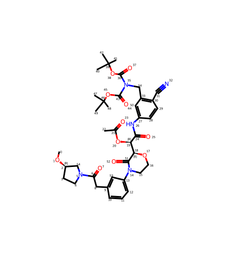 CO[C@@H]1CCN(C(=O)Cc2cccc(N3CCO[C@H]([C@@H](OC(C)=O)C(=O)Nc4ccc(C#N)c(CN(C(=O)OC(C)(C)C)C(=O)OC(C)(C)C)c4)C3=O)c2)C1